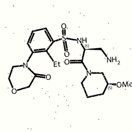 CCc1c(N2CCOCC2=O)cccc1S(=O)(=O)N[C@@H](CN)C(=O)N1CCC[C@H](OC)C1